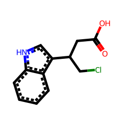 O=C(O)CC(CCl)c1c[nH]c2ccccc12